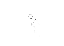 C=P(C)(C)CCC1OC(n2c(SCC)nc3c(N)ccnc32)[C@H](O)[C@@H]1O